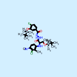 [C-]#[N+]c1ccc(NC(C(=O)NNC(=O)c2ccc(F)c(O[Si](C)(C)C(C)(C)C)c2)[C@@H](C)O[Si](C)(C)C(C)(C)C)c(C)c1Cl